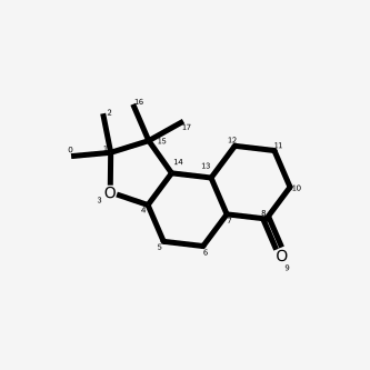 CC1(C)OC2CCC3C(=O)CCCC3C2C1(C)C